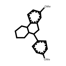 COc1ccc(C2Cc3cc(OC)ccc3C3CCCCC23)cc1